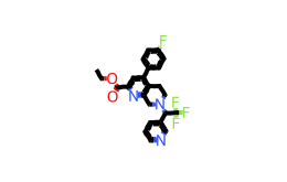 CCOC(=O)c1cc(-c2ccc(F)cc2)c2c(n1)CN(C(c1cccnc1)C(F)(F)F)CC2